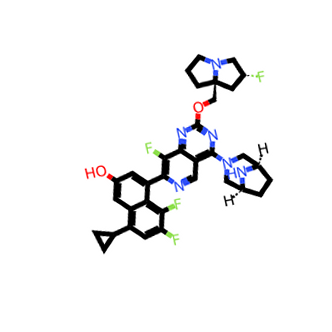 Oc1cc(-c2ncc3c(N4C[C@H]5CC[C@@H](C4)N5)nc(OC[C@@]45CCCN4C[C@H](F)C5)nc3c2F)c2c(F)c(F)cc(C3CC3)c2c1